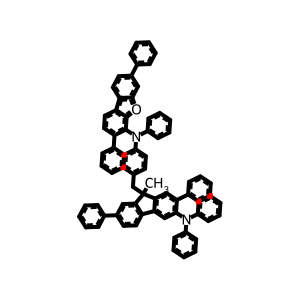 CC1(Cc2ccc(N(c3ccccc3)c3c(-c4ccccc4)ccc4c3oc3cc(-c5ccccc5)ccc34)cc2)c2cc(-c3ccccc3)ccc2-c2cc(N(c3ccccc3)c3ccccc3)c(-c3ccccc3)cc21